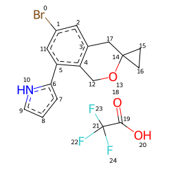 Brc1cc2c(c(-c3ccc[nH]3)c1)COC1(CC1)C2.O=C(O)C(F)(F)F